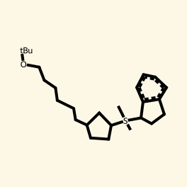 CC(C)(C)OCCCCCCC1CCC(S(C)(C)C2CCc3ccccc32)C1